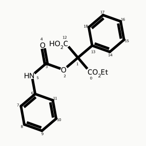 CCOC(=O)C(OC(=O)Nc1ccccc1)(C(=O)O)c1ccccc1